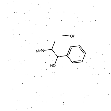 CNC(C)C(O)c1ccccc1.CO